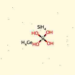 O[Si](O)(O)O.[GeH4].[SiH4]